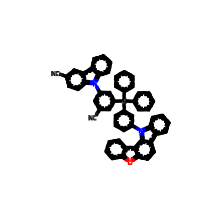 N#Cc1cc(-n2c3ccccc3c3cc(C#N)ccc32)cc([Si](c2ccccc2)(c2ccccc2)c2cccc(-n3c4ccccc4c4ccc5oc6ccccc6c5c43)c2)c1